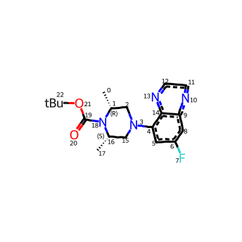 C[C@@H]1CN(c2cc(F)cc3nccnc23)C[C@H](C)N1C(=O)OC(C)(C)C